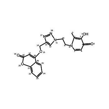 Cc1c(O)c(=O)ccn1CCn1cc(COc2cc(=O)oc3ccccc23)nn1